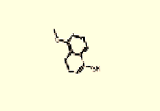 COc1cccc2c(S)cccc12